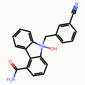 N#Cc1cccc(C[N+]2(O)c3ccccc3-c3c(C(N)=O)cccc32)c1